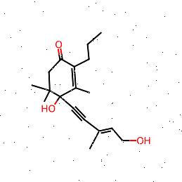 CCCC1=C(C)C(O)(C#CC(C)=CCO)C(C)(C)CC1=O